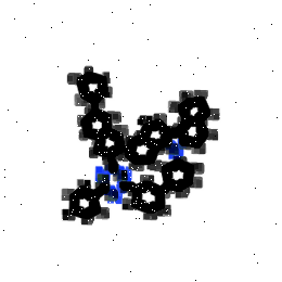 c1ccc(-c2ccc3cc(-c4nc(-c5ccccc5)nc(-c5cccc(-c6cccc(-n7c8ccc9ccccc9c8c8ccc9ccccc9c87)c6)c5)n4)ccc3c2)cc1